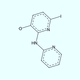 [O]c1ccc(I)nc1Nc1ccccn1